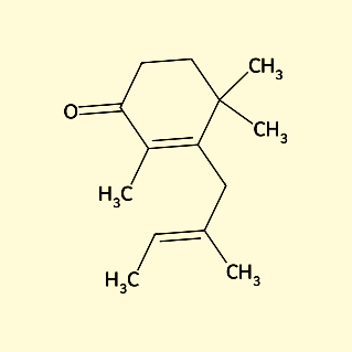 CC=C(C)CC1=C(C)C(=O)CCC1(C)C